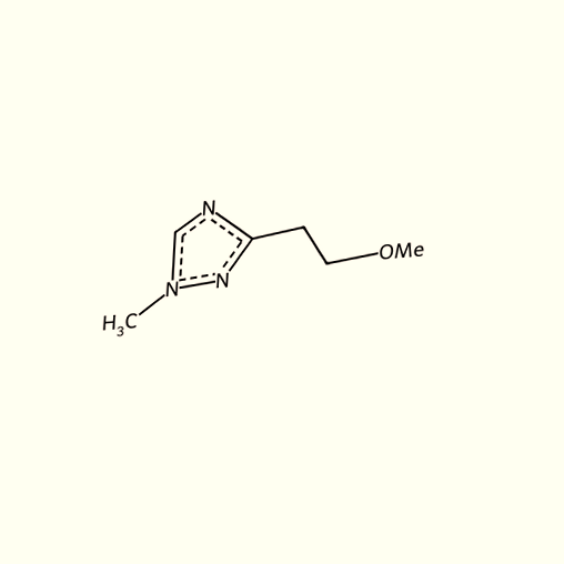 COCCc1ncn(C)n1